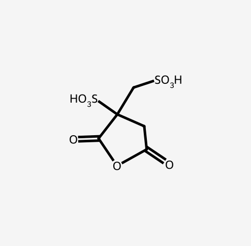 O=C1CC(CS(=O)(=O)O)(S(=O)(=O)O)C(=O)O1